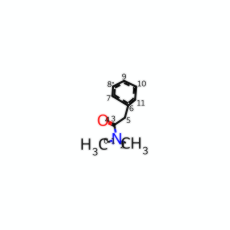 CN(C)C(=O)Cc1c[c]ccc1